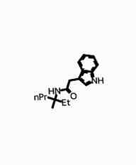 CCCC(C)(CC)NC(=O)Cc1c[nH]c2ccccc12